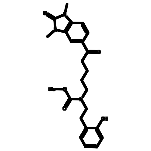 Cn1c(=O)n(C)c2cc(C(=O)CCCCN(CCc3ccccc3O)C(=O)OC(C)(C)C)ccc21